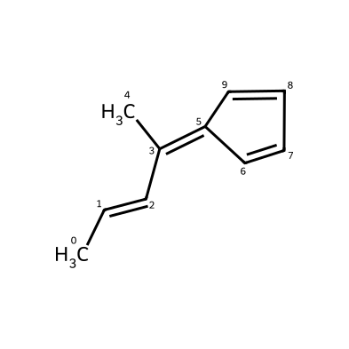 CC=CC(C)=C1C=CC=C1